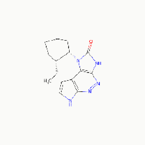 CC[C@@H]1CCCC[C@@H]1n1c(=O)[nH]c2nnc3[nH]ccc3c21